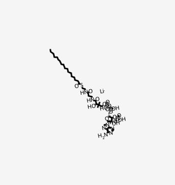 CCCCCCCCCCCCCCCCCC(=O)SCCNC(=O)CCNC(=O)[C@H](O)C(C)(C)COP(=O)(O)OP(=O)(O)OC[C@H]1O[C@@H](n2cnc3c(N)ncnc32)[C@H](O)[C@@H]1OP(=O)(O)O.[Li]